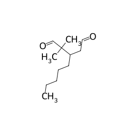 CCCCCC(CC=O)C(C)(C)C=O